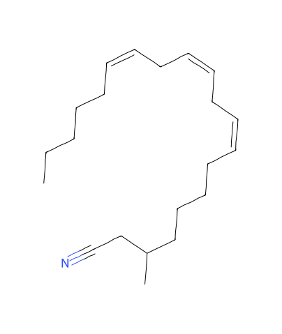 CCCCC/C=C\C/C=C\C/C=C\CCCCC(C)CC#N